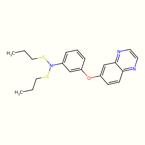 CCCSN(SCCC)c1cccc(Oc2ccc3nccnc3c2)c1